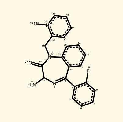 NC1N=C(c2ccccc2F)c2ccccc2N(Cc2cccc[n+]2[O-])C1=O